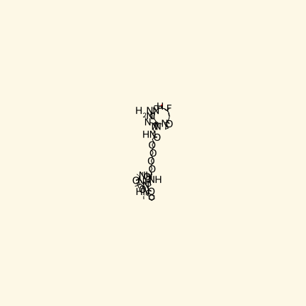 C=C1/C=C(F)\C=C/CC(=O)N(C2CC2)Cc2nn(CCNC(=O)CCOCCOCCOCCOCCC(=O)N[C@@H]3C[C@H](C(=O)N[C@@H](CC)c4ccccc4)N(C(=O)[C@H](NC(=O)[C@@H](C)NC)C(C)(C)C)C3)c(C#N)c2-c2cnc(N)c(c2)N2CCC[C@H]12